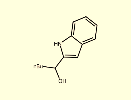 CCCCC(O)c1cc2ccccc2[nH]1